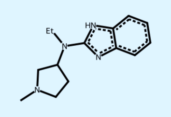 CCN(c1nc2ccccc2[nH]1)C1CCN(C)C1